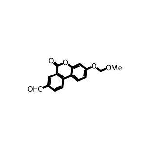 COCOc1ccc2c(c1)oc(=O)c1cc(C=O)ccc12